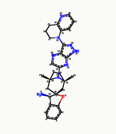 N[C@@H]1c2ccccc2O[C@]12C[C@H]1CC[C@@H](C2)N1c1cnc2c(N3CCCc4ncccc43)n[nH]c2n1